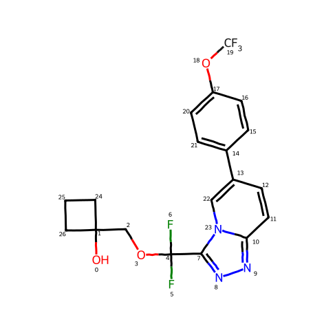 OC1(COC(F)(F)c2nnc3ccc(-c4ccc(OC(F)(F)F)cc4)cn23)CCC1